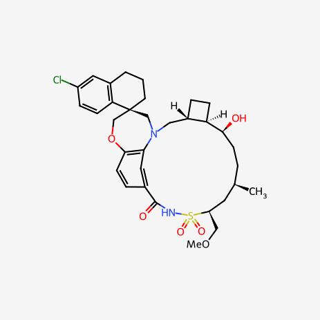 COC[C@@H]1C[C@H](C)CC[C@H](O)[C@@H]2CC[C@H]2CN2C[C@@]3(CCCc4cc(Cl)ccc43)COc3ccc(cc32)C(=O)NS1(=O)=O